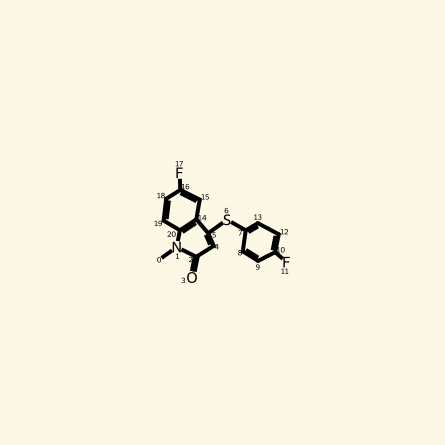 Cn1c(=O)cc(Sc2ccc(F)cc2)c2cc(F)ccc21